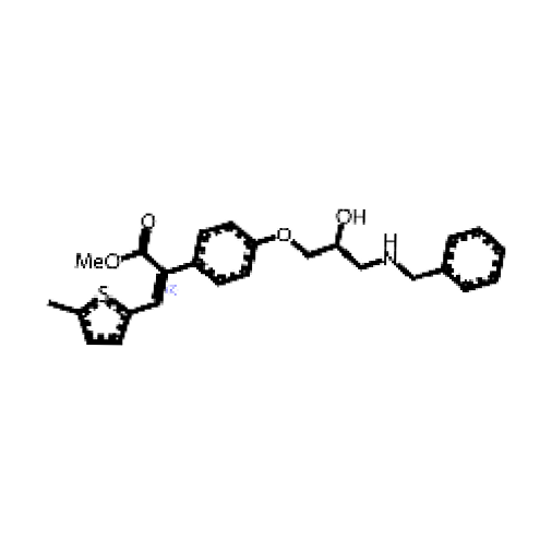 COC(=O)/C(=C\c1ccc(C)s1)c1ccc(OCC(O)CNCc2ccccc2)cc1